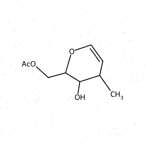 CC(=O)OCC1OC=CC(C)C1O